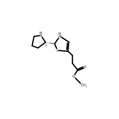 COC(=O)CCC1=CNC([C@@H]2CCCN2)S1